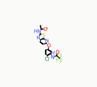 CC(=O)Nc1nc2ccc(Oc3ccc(Cl)c(NC(=O)C(F)(F)F)c3)nc2s1